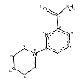 NC(=O)c1[c]ccc(N2CCOCC2)n1